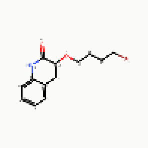 O=C1Nc2ccccc2CC1OCCCCBr